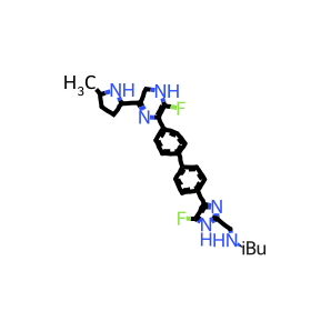 CC[C@H](C)NCc1nc(-c2ccc(-c3ccc(C4=C(F)NCC(C5CCC(C)N5)=N4)cc3)cc2)c(F)[nH]1